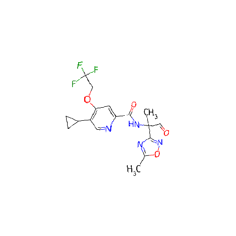 Cc1nc(C(C)(C=O)NC(=O)c2cc(OCC(F)(F)F)c(C3CC3)cn2)no1